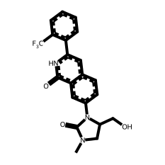 CN1CC(CO)N(c2ccc3cc(-c4ccccc4C(F)(F)F)[nH]c(=O)c3c2)C1=O